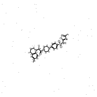 Cc1nsc(NS(=O)(=O)c2ccc(N3CCN(C(=O)[C@H](C)N4CCCc5cc(F)ccc54)CC3)cc2)n1